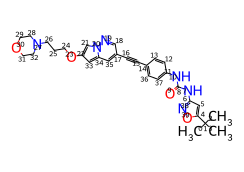 CC(C)(C)c1cc(NC(=O)Nc2ccc(C#Cc3cnn4cc(OCCCN5CCOCC5)cc4c3)cc2)no1